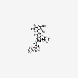 CC1CC2COCC(C1)N2CC1(CC2CC2c2nc(N3CC4CCC(C3)N4)c3cnc(-c4cc(F)c(F)c5sc(N)c(C#N)c45)c(F)c3n2)CC1